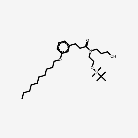 CCCCCCCCCCOc1cccc(CCC(=O)N(CCCO)CCO[Si](C)(C)C(C)(C)C)c1